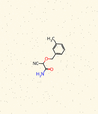 Cc1cccc(COC(C#N)C(N)=O)c1